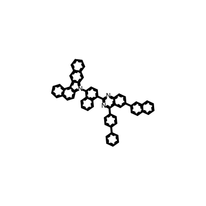 c1ccc(-c2ccc(-c3nc(-c4ccc(-n5c6cc7ccccc7cc6c6c7ccccc7ccc65)c5ccccc45)nc4ccc(-c5ccc6ccccc6c5)cc34)cc2)cc1